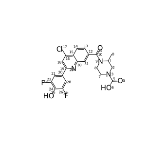 CC1CN(C(=O)O)CCN1C(=O)c1ccc2c(Cl)cc(-c3cc(F)c(O)c(F)c3)nc2c1